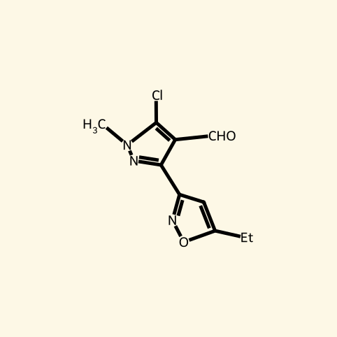 CCc1cc(-c2nn(C)c(Cl)c2C=O)no1